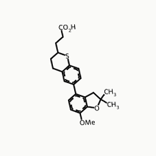 COc1ccc(-c2ccc3c(c2)CCC(CCC(=O)O)S3)c2c1OC(C)(C)C2